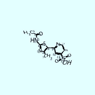 CC(=O)Nc1nc(C)c(-c2cc(S(=O)(=O)O)ccn2)s1